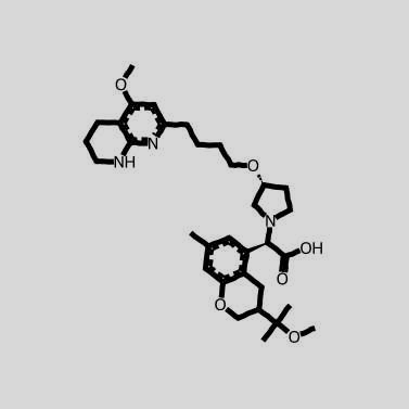 COc1cc(CCCCO[C@@H]2CCN([C@@H](C(=O)O)c3cc(C)cc4c3CC(C(C)(C)OC)CO4)C2)nc2c1CCCN2